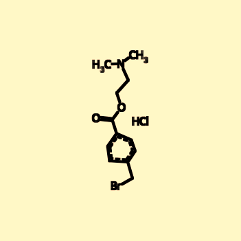 CN(C)CCOC(=O)c1ccc(CBr)cc1.Cl